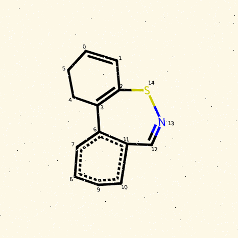 C1=CC2=C(CC1)c1ccccc1C=NS2